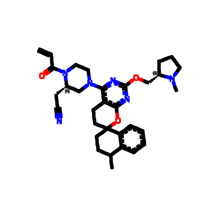 C=CC(=O)N1CCN(c2nc(OC[C@@H]3CCCN3C)nc3c2CCC2(CCC(C)c4ccccc42)O3)C[C@@H]1CC#N